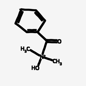 C[N+](C)(O)C(=O)c1cc[c]cc1